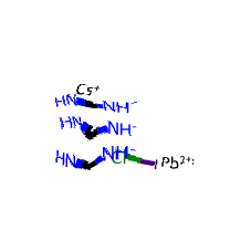 ClI.N=C[NH-].N=C[NH-].N=C[NH-].[Cs+].[Pb+2]